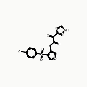 O=C(Cc1cocc1S(=O)(=O)c1ccc(Cl)cc1)C(=O)c1nc[nH]n1